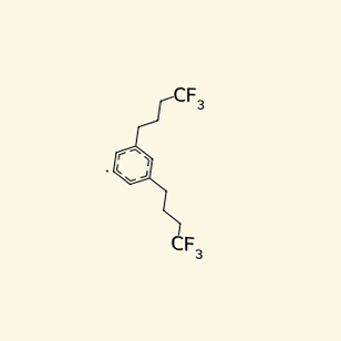 FC(F)(F)CCCc1c[c]cc(CCCC(F)(F)F)c1